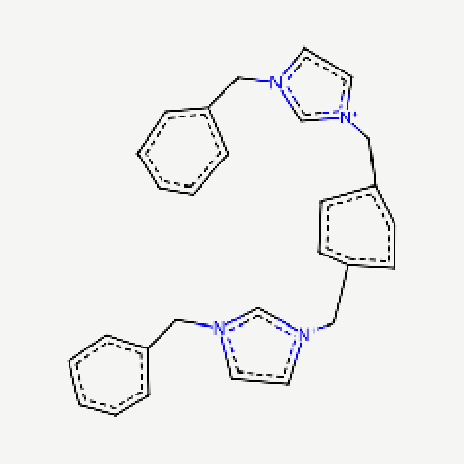 c1ccc(Cn2cc[n+](Cc3ccc(C[n+]4ccn(Cc5ccccc5)c4)cc3)c2)cc1